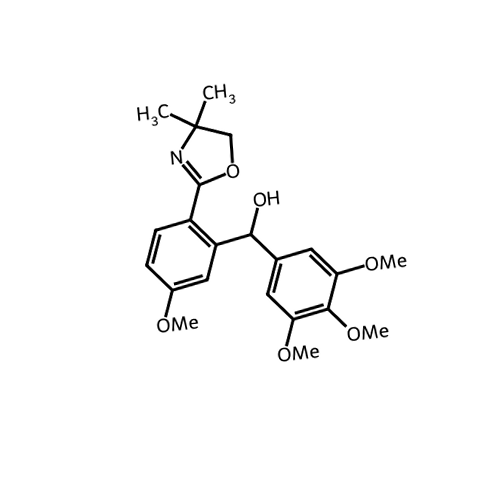 COc1ccc(C2=NC(C)(C)CO2)c(C(O)c2cc(OC)c(OC)c(OC)c2)c1